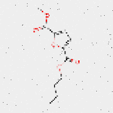 CCCCOC(=O)c1ccc(C(=O)OC)o1